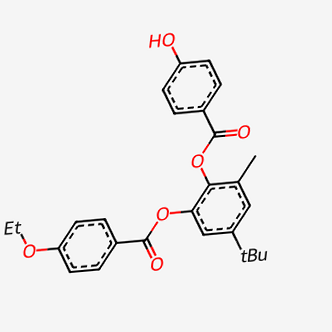 CCOc1ccc(C(=O)Oc2cc(C(C)(C)C)cc(C)c2OC(=O)c2ccc(O)cc2)cc1